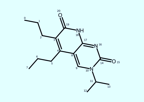 CCCc1c(CCC)c2cn(C(C)C)c(=O)nc2[nH]c1=O